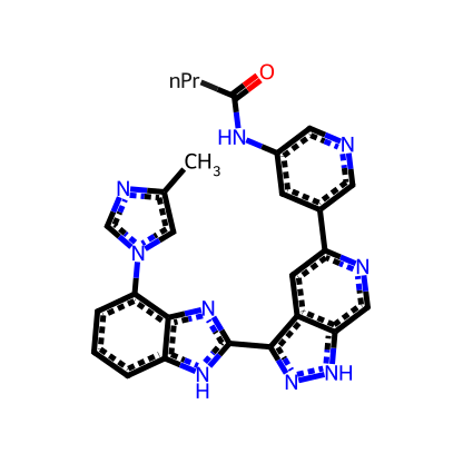 CCCC(=O)Nc1cncc(-c2cc3c(-c4nc5c(-n6cnc(C)c6)cccc5[nH]4)n[nH]c3cn2)c1